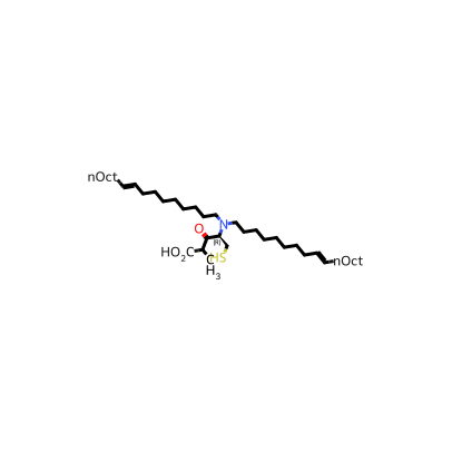 CCCCCCCCC=CCCCCCCCCN(CCCCCCCCC=CCCCCCCCC)[C@@H](CS)C(=O)C(C)C(=O)O